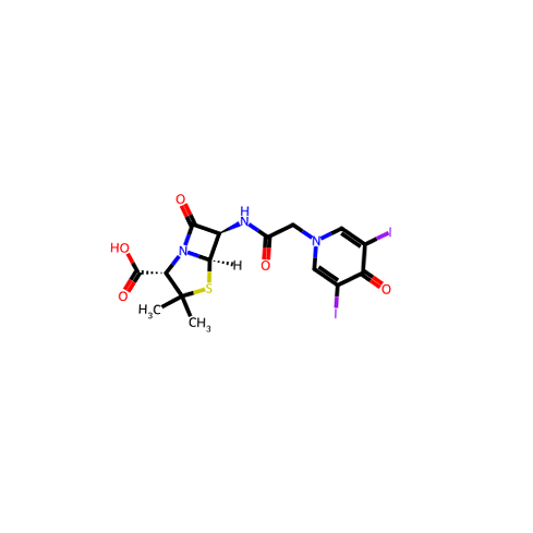 CC1(C)S[C@@H]2[C@H](NC(=O)Cn3cc(I)c(=O)c(I)c3)C(=O)N2[C@H]1C(=O)O